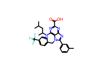 Cc1cccc(-c2nc3nc(C(=O)O)nc(NC(C)CC(C)C)c3n2Cc2ccc(C(F)(F)F)cc2)c1